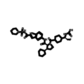 O=C(O)N[C@H](CF)C1CCC(C(=O)N2CC[C@@H](C3CCCCC3)[C@H]2C(=O)Nc2ccc3[nH]c(C(=O)NS(=O)(=O)N4CCCCC4)cc3c2)CC1